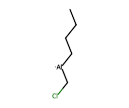 CCC[CH2][Al][CH2]Cl